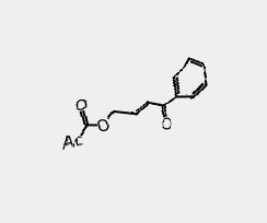 CC(=O)C(=O)OCC=CC(=O)c1ccccc1